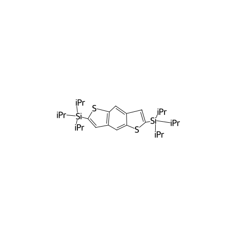 CC(C)[Si](c1cc2cc3sc([Si](C(C)C)(C(C)C)C(C)C)cc3cc2s1)(C(C)C)C(C)C